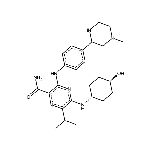 CC(C)c1nc(C(N)=O)c(Nc2ccc(C3CN(C)CCN3)cc2)nc1N[C@H]1CC[C@H](O)CC1